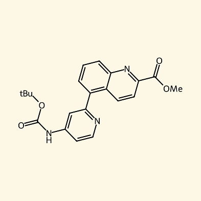 COC(=O)c1ccc2c(-c3cc(NC(=O)OC(C)(C)C)ccn3)cccc2n1